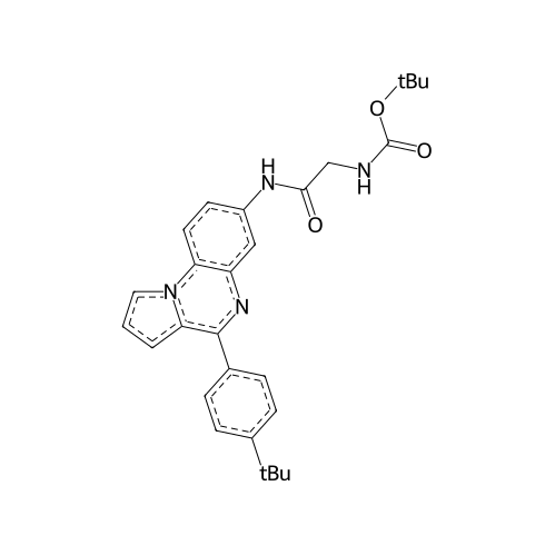 CC(C)(C)OC(=O)NCC(=O)Nc1ccc2c(c1)nc(-c1ccc(C(C)(C)C)cc1)c1cccn12